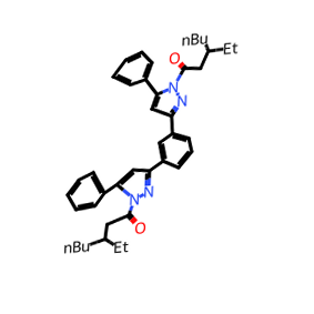 CCCCC(CC)CC(=O)n1nc(-c2cccc(-c3cc(-c4ccccc4)n(C(=O)CC(CC)CCCC)n3)c2)cc1-c1ccccc1